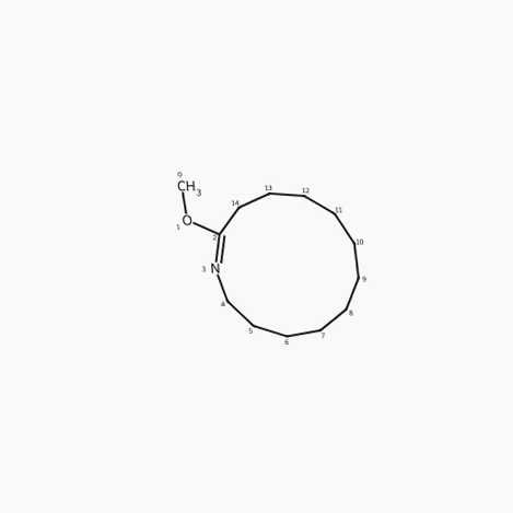 COC1=NCCCCCCCCCCC1